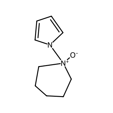 [O-][N+]1(n2cccc2)CCCCC1